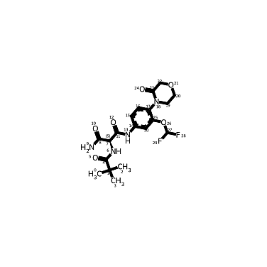 CC(C)(C)C(=O)N[C@@H](C(N)=O)C(=O)Nc1ccc(N2CCOCC2=O)c(OC(F)F)c1